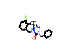 CCN(Cc1cccc(F)c1C(F)(F)F)C(=O)NCc1ccccc1